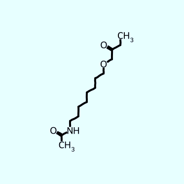 CCC(=O)COCCCCCCCCNC(C)=O